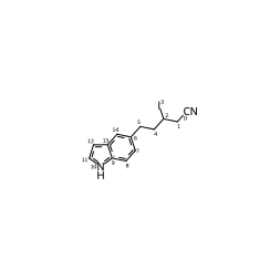 N#CCC(I)CCc1ccc2[nH]ccc2c1